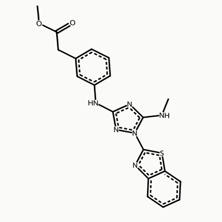 CNc1nc(Nc2cccc(CC(=O)OC)c2)nn1-c1nc2ccccc2s1